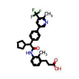 Cc1ncc(-c2ccc(C(C(=O)Nc3cccc(CCC(=O)O)c3C)C3CCCC3)cc2)cc1C(F)(F)F